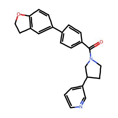 O=C(c1ccc(-c2ccc3c(c2)CCO3)cc1)N1CCC(c2cccnc2)C1